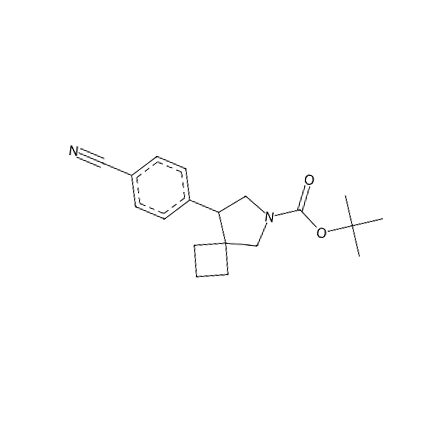 CC(C)(C)OC(=O)N1CC(c2ccc(C#N)cc2)C2(CCC2)C1